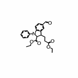 CCOC(=O)CCC1c2cc(C=O)ccc2N(c2ccccc2)C1C(=O)OCC